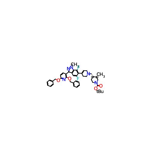 C[C@@H]1CN(C(=O)OC(C)(C)C)CC[C@@H]1CN1CC=C(c2c(F)cc3c(-c4ccc(OCc5ccccc5)nc4OCc4ccccc4)nn(C)c3c2F)CC1